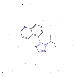 CC(C)n1ncnc1-c1cccc2ncccc12